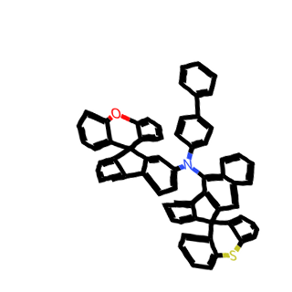 c1ccc(-c2ccc(N(c3ccc4c(c3)C3(c5ccccc5Oc5ccccc53)c3ccccc3-4)c3c4c(cc5ccccc35)C3(c5ccccc5Sc5ccccc53)c3ccccc3-4)cc2)cc1